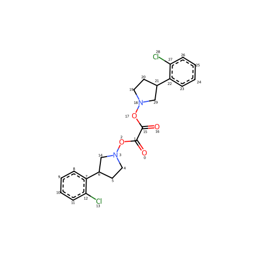 O=C(ON1CCC(c2ccccc2Cl)C1)C(=O)ON1CCC(c2ccccc2Cl)C1